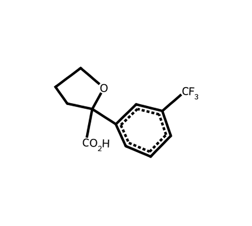 O=C(O)C1(c2cccc(C(F)(F)F)c2)CCCO1